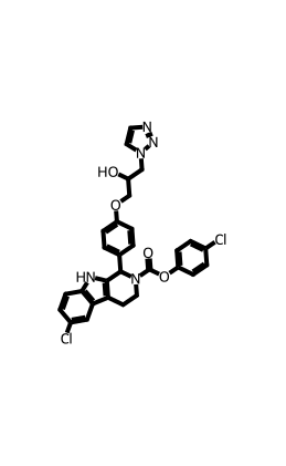 O=C(Oc1ccc(Cl)cc1)N1CCc2c([nH]c3ccc(Cl)cc23)C1c1ccc(OCC(O)Cn2ccnn2)cc1